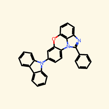 c1ccc(-c2nc3cccc4c3n2-c2ccc(-n3c5ccccc5c5ccccc53)cc2O4)cc1